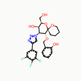 OC[C@H]1O[C@@]2(CCCCO2)[C@H](OCc2ccccc2O)[C@@H](n2cc(-c3cc(F)c(F)c(F)c3)nn2)[C@H]1O